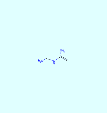 C=C(N)NCN